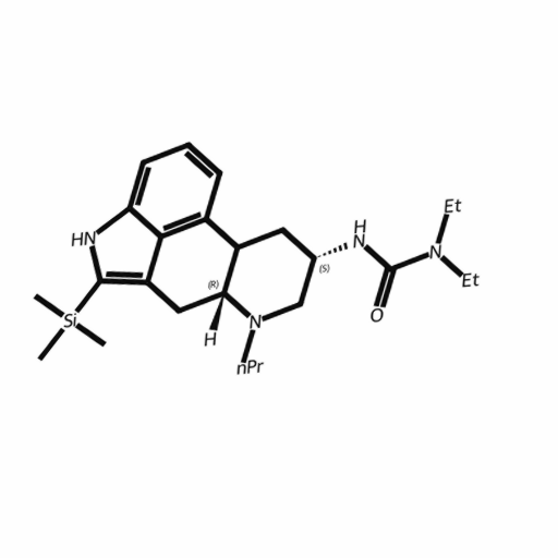 CCCN1C[C@@H](NC(=O)N(CC)CC)CC2c3cccc4[nH]c([Si](C)(C)C)c(c34)C[C@H]21